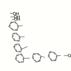 CO.CO.CO.CO.Cc1ccccc1.Cc1ccccc1.Cc1ccccc1.Cc1ccccc1.Cc1ccccc1.Cc1ccccc1